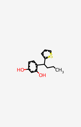 CCCC(c1cccs1)c1ccc(O)cc1O